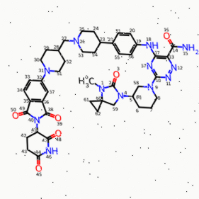 CN1C(=O)N([C@@H]2CCCN(c3nnc(C(N)=O)c(Nc4ccc(C5CCN(CC6CCN(c7ccc8c(c7)C(=O)N(C7CCC(=O)NC7=O)C8=O)CC6)CC5)cc4)n3)C2)CC12CC2